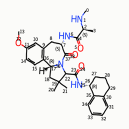 CN[C@@H](C)C(=O)N[C@H]1Cc2cc(OC)ccc2[C@H]2CC(C)(C)C(C(=O)N[C@@H]3CCCc4ccccc43)N2C1=O